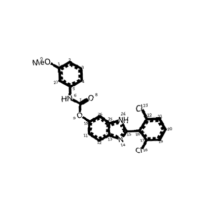 COc1cccc(NC(=O)Oc2ccc3nc(-c4c(Cl)cccc4Cl)[nH]c3c2)c1